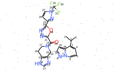 CC(C)c1cccn2nc([C@@H]3c4nc[nH]c4CCN3C(=O)c3nnc(-c4ccn(C(F)(F)F)n4)o3)cc12